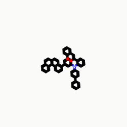 c1ccc(-c2ccc(N(c3cccc(-c4cccc5c4ccc4ccc6ccccc6c45)c3)c3ccccc3-c3ccc4ccccc4c3)cc2)cc1